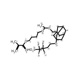 C=C(C)C(=O)OCCCCOC(C)OCC12CC3CC(C1)CC(OCCC(F)(F)C(F)(F)S(=O)(=O)O)(C3)C2